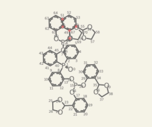 O=P(c1ccccc1)(c1ccccc1OP(Oc1ccccc1C1OCCO1)Oc1ccccc1C1OCCO1)c1ccccc1OP(Oc1ccccc1C1OCCO1)Oc1ccccc1C1OCCO1